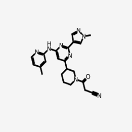 Cc1ccnc(Nc2cc(C3CCCN(C(=O)CC#N)C3)nc(-c3cnn(C)c3)n2)c1